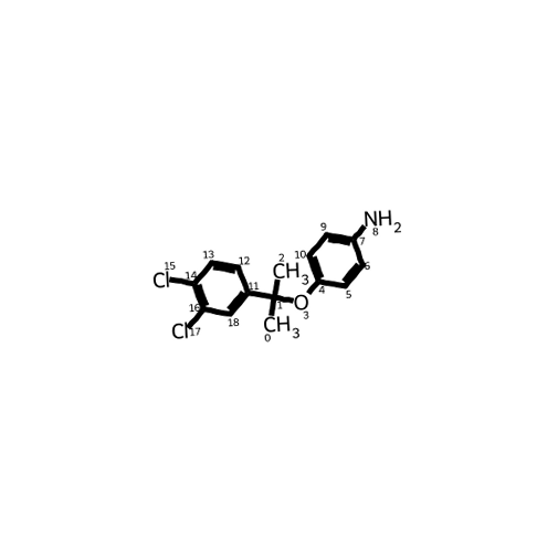 CC(C)(Oc1ccc(N)cc1)c1ccc(Cl)c(Cl)c1